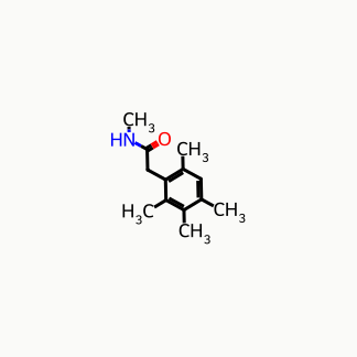 CNC(=O)Cc1c(C)cc(C)c(C)c1C